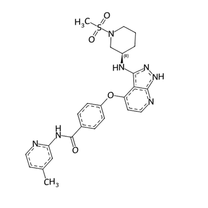 Cc1ccnc(NC(=O)c2ccc(Oc3ccnc4[nH]nc(N[C@@H]5CCCN(S(C)(=O)=O)C5)c34)cc2)c1